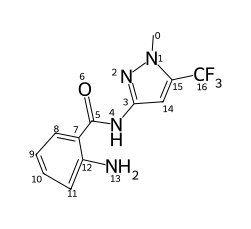 Cn1nc(NC(=O)c2ccccc2N)cc1C(F)(F)F